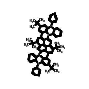 CC(C)(C)c1cc2c3c(c1)N(c1ccccc1)c1ccccc1B3c1cc3c(C(C)(C)C)cc4c5c(cc6c(C(C)(C)C)cc-2c1c6c35)B1c2ccccc2N(c2ccccc2)c2cc(C(C)(C)C)cc-4c21